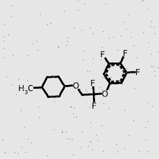 CC1CCC(OCC(F)(F)Oc2cc(F)c(F)c(F)c2)CC1